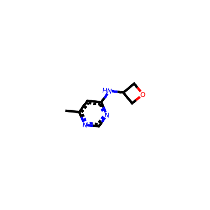 Cc1cc(NC2COC2)ncn1